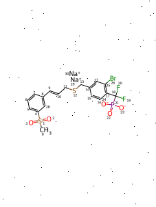 CS(=O)(=O)c1cccc(/C=C/CSCc2ccc(C(F)(F)P(=O)([O-])[O-])c(Br)c2)c1.[Na+].[Na+]